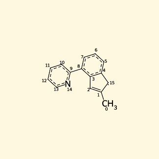 CC1=Cc2c(cccc2-c2ccccn2)[CH]1